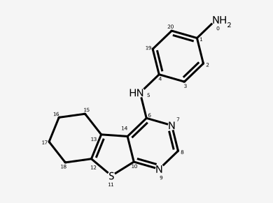 Nc1ccc(Nc2ncnc3sc4c(c23)CCCC4)cc1